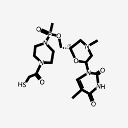 Cc1cn(C2CN(C)C[C@@H](COP(C)(=O)N3CCN(C(=O)CS)CC3)O2)c(=O)[nH]c1=O